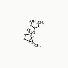 CCC(CO)OP1(=O)CCC2C(C)C21